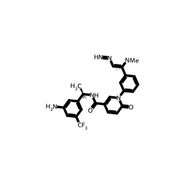 CN/C(=C\N=N)c1cccc(-n2cc(C(=O)N[C@H](C)c3cc(N)cc(C(F)(F)F)c3)ccc2=O)c1